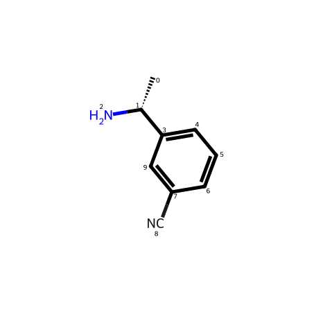 C[C@@H](N)c1cccc(C#N)c1